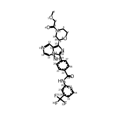 COCC(=O)N1CCO[C@@H](C2=C3C=NC=C[N+]3(N)C(c3ccc(C(=O)Nc4cc(C(F)(F)F)ccn4)cc3)=N2)C1